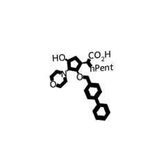 CCCCCC(C(=O)O)[C@@H]1C[C@H](O)[C@@H](N2CCOCC2)[C@@H]1OCc1ccc(-c2ccccc2)cc1